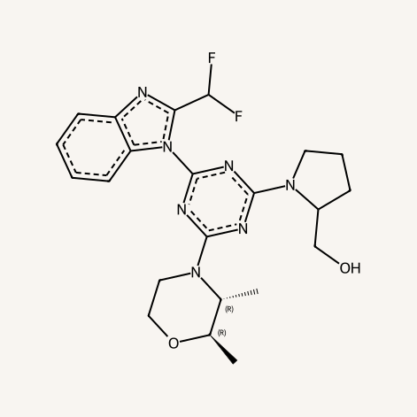 C[C@@H]1[C@@H](C)OCCN1c1nc(N2CCCC2CO)nc(-n2c(C(F)F)nc3ccccc32)n1